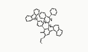 C=c1c(-c2ccc(-n3c4ccccc4c4ccccc43)cc2)c2c(c/c1=C/C=C\C)c1c3ccccc3ccc1n2-c1nc(-c2ccccc2)c2ccccc2n1